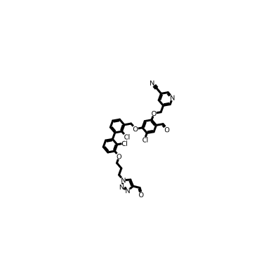 N#Cc1cncc(COc2cc(OCc3cccc(-c4cccc(OCCCn5cc(C=O)nn5)c4Cl)c3Cl)c(Cl)cc2C=O)c1